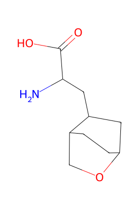 NC(CC1CC2CCC1CO2)C(=O)O